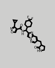 O=C(NC(c1cn2ncc(CC3CCNC3=O)cc2n1)C1CCC(F)(F)CC1)c1conc1C1CC1